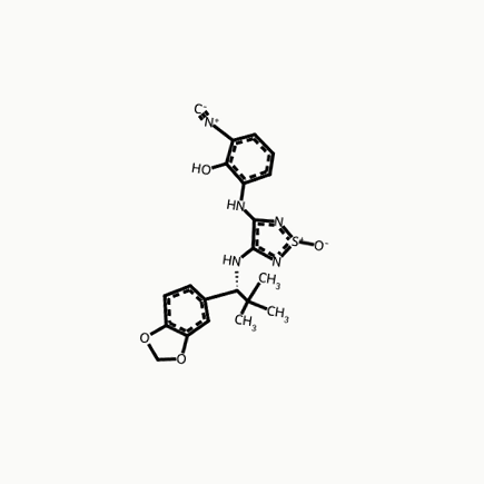 [C-]#[N+]c1cccc(Nc2n[s+]([O-])nc2N[C@@H](c2ccc3c(c2)OCO3)C(C)(C)C)c1O